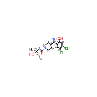 CC(C)(O)CC(=O)N1CCC(C(N)c2cc(Cl)c(Cl)cc2O)CC1